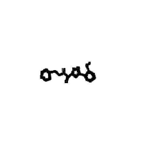 COc1ccccc1-c1cc(C(=O)NCCc2ccncc2)no1